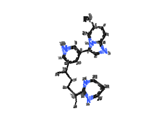 CC(C)c1ccc2ncc(-c3cncc(C(C)CCC(C)c4ncccn4)c3)n2c1